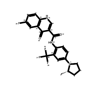 C[C@H]1CCCN1c1ccc(NC(=O)c2c[nH]c3ccc(F)cc3c2=O)c(C(F)(F)F)c1